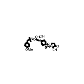 COc1ccc(CC(C)(C)NC[C@@H](O)COc2ccc(S(=O)(=O)NN3CCC(Cl)C3C#N)cc2)cc1.Cl